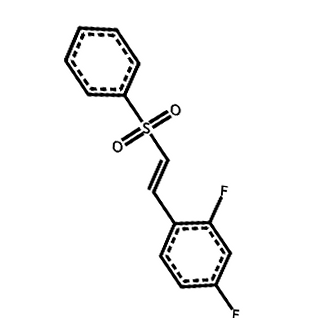 O=S(=O)(/C=C/c1ccc(F)cc1F)c1ccccc1